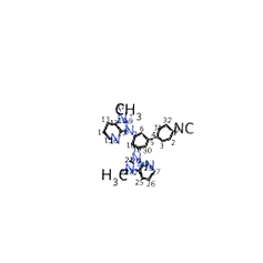 [C-]#[N+]c1ccc(-c2cc(-n3c[n+](C)c4cccnc43)cc(-n3c[n+](C)c4cccnc43)c2)cc1